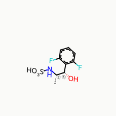 C[C@H](NS(=O)(=O)O)[C@@H](O)c1c(F)cccc1F